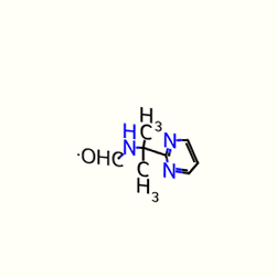 CC(C)(N[C]=O)c1ncccn1